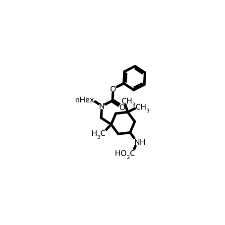 CCCCCCN(CC1(C)CC(NC(=O)O)CC(C)(C)C1)C(=O)Oc1ccccc1